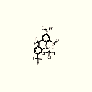 O=[N+]([O-])c1cc([N+](=O)[O-])c(N(SC(Cl)(Cl)Cl)c2cc(C(F)(F)F)ccc2Cl)c(C(F)(F)F)c1